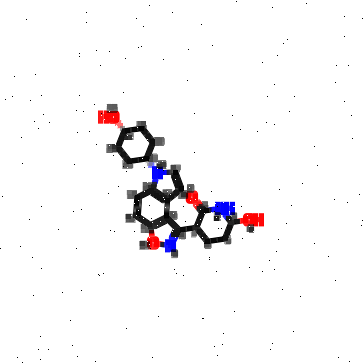 O=C1NC(O)CCC1c1noc2ccc3c(ccn3[C@H]3CC[C@@H](O)CC3)c12